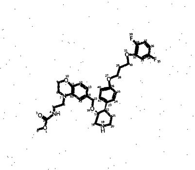 COC(=O)NCCN1CCOc2ccc(CO[C@H]3CNCC[C@@H]3c3ccc(OCCCOc4cc(F)ccc4F)cc3)cc21